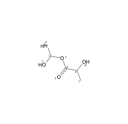 CCCC(O)OC(=O)C(C)O